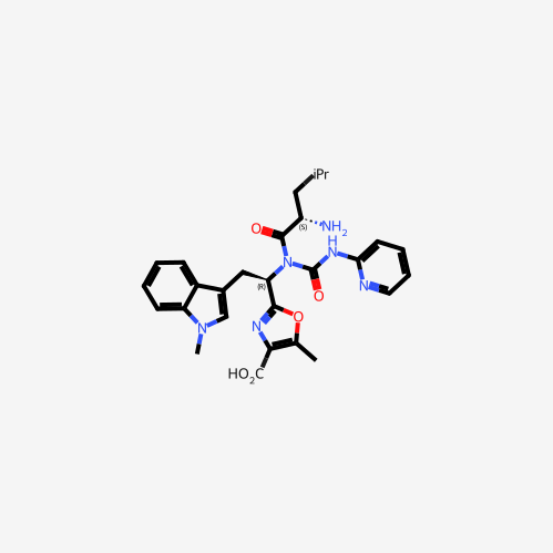 Cc1oc([C@@H](Cc2cn(C)c3ccccc23)N(C(=O)Nc2ccccn2)C(=O)[C@@H](N)CC(C)C)nc1C(=O)O